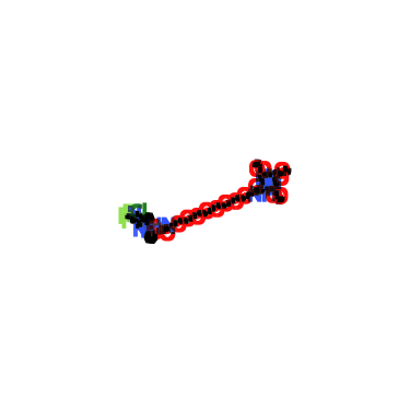 CN(C(=O)c1ccc(Cl)c(-c2cnc(C(F)(F)F)cc2C#N)c1)c1ccccc1OCCC(=O)NCCOCCOCCOCCOCCOCCOCCOCCOCCNC(=O)CN1CCN(CC(=O)OC(C)(C)C)CCN(CC(=O)OC(C)(C)C)CCN(CC(=O)OC(C)(C)C)CC1